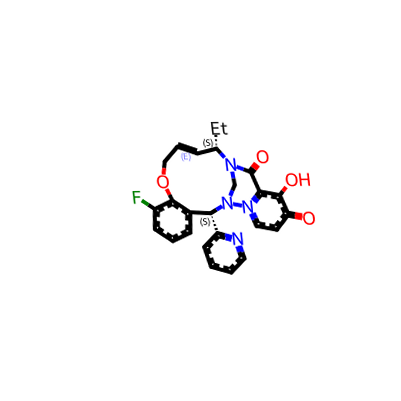 CC[C@H]1/C=C/COc2c(F)cccc2[C@@H](c2ccccn2)N2CN1C(=O)c1c(O)c(=O)ccn12